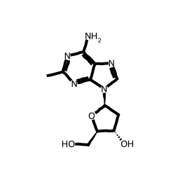 Cc1nc(N)c2ncn([C@H]3C[C@H](O)[C@@H](CO)O3)c2n1